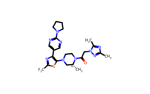 Cc1nc(C)n(CC(=O)N2CCN(c3sc(C(F)(F)F)nc3-c3cnc(N4CCCC4)nc3)C[C@H]2C)n1